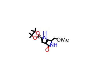 COCC1NC(=O)c2cc(B3OC(C)(C)C(C)(C)O3)[nH]c21